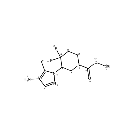 Cc1c(N)cnn1C1CN(C(=O)OC(C)(C)C)CCC1(F)F